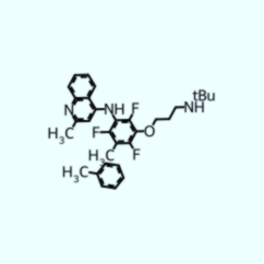 Cc1cc(Nc2c(F)c(C)c(F)c(OCCCNC(C)(C)C)c2F)c2ccccc2n1.Cc1ccccc1